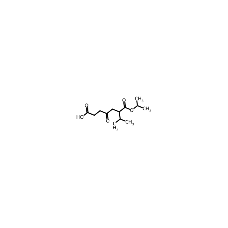 CC(C)OC(=O)C(CC(=O)CCC(=O)O)C(C)C